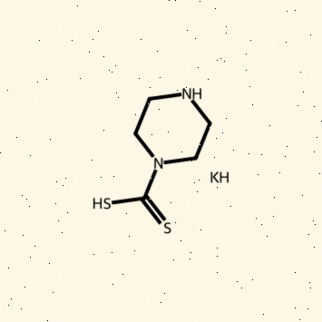 S=C(S)N1CCNCC1.[KH]